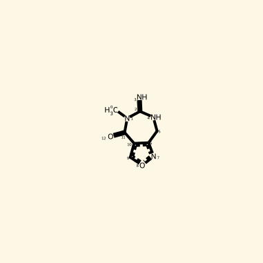 CN1C(=N)NCc2nocc2C1=O